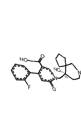 O=C(O)c1cn(C[C@]2(O)CCNCC23CCCC3)c(=O)cc1-c1ccccc1F